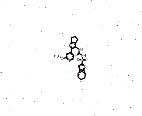 COc1cc(-c2sc3c(c2NC(=O)NS(=O)(=O)c2cc4c(o2)C2CCN(CC2)C4)CCC3)ccn1